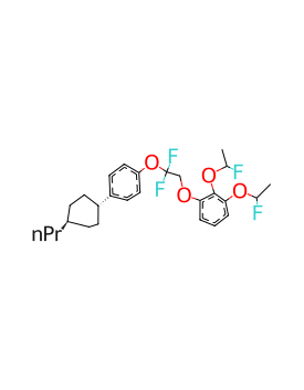 CCC[C@H]1CC[C@H](c2ccc(OC(F)(F)COc3cccc(OC(C)F)c3OC(C)F)cc2)CC1